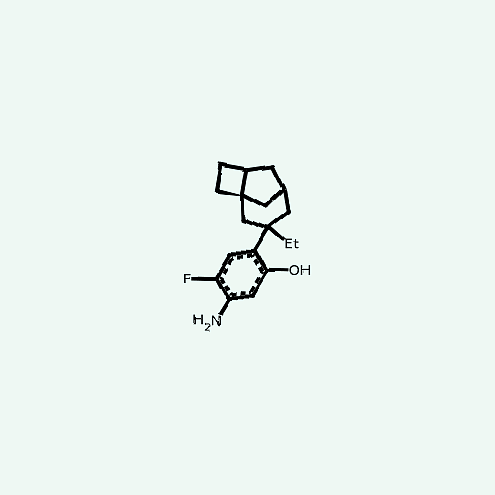 CCC1(c2cc(F)c(N)cc2O)CC2CC3CC[C@@]3(C2)C1